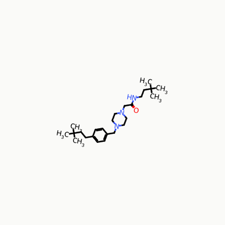 CC(C)(C)CCNC(=O)CN1CCN(Cc2ccc(CCC(C)(C)C)cc2)CC1